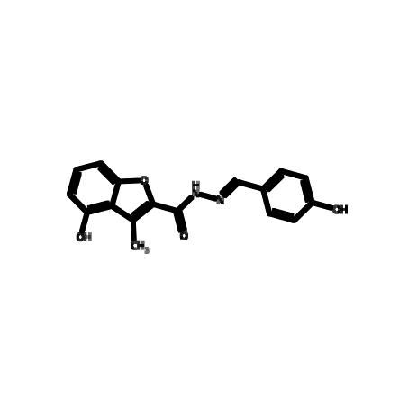 Cc1c(C(=O)N/N=C/c2ccc(O)cc2)oc2cccc(O)c12